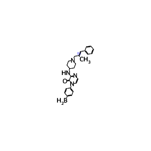 Bc1ccc(-n2ccnc(NC3CCN(C/C(C)=C/c4ccccc4)CC3)c2=O)cc1